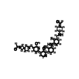 COc1nc(-c2ccnc(-c3cccc(Nc4nccc(CNC5CCN(C(C)=O)CC5)c4F)c3Cl)c2Cl)ccc1CN1CCC2(C1)CN(C(C)=O)C2